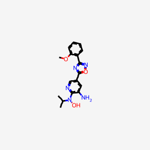 COc1ccccc1-c1noc(-c2cnc(N(O)C(C)C)c(N)c2)n1